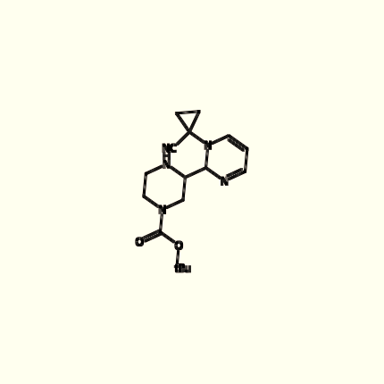 CC(C)(C)OC(=O)N1CCNC(C2N=CC=CN2C2(C#N)CC2)C1